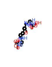 CC[C@H]1CC[C@@H](c2nc3ccc4cc5c(cc4c3[nH]2)OCc2cc(-c3cnc([C@@H]4CC[C@H](C)N4C(=O)[C@@H](NC(=O)O)[C@@H](C)OC)[nH]3)ccc2-5)N1C(=O)[C@@H](NC(=O)OC)[C@@H](C)OC